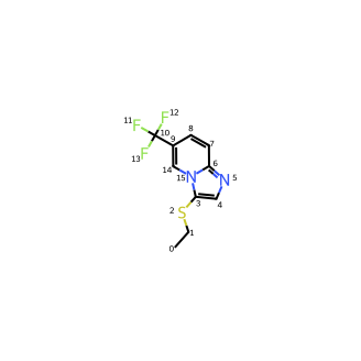 CCSc1cnc2ccc(C(F)(F)F)cn12